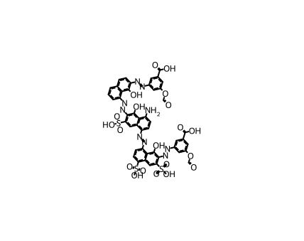 Nc1ccc(N=Nc2ccc(S(=O)(=O)O)c3cc(S(=O)(=O)O)c(N=Nc4cc(OC=O)cc(C(=O)O)c4)c(O)c23)c2cc(S(=O)(=O)O)c(N=Nc3cccc4ccc(N=Nc5cc(OC=O)cc(C(=O)O)c5)c(O)c34)c(O)c12